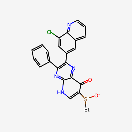 CC[S+]([O-])c1c[nH]c2nc(-c3ccccc3)c(-c3cc(Cl)c4ncccc4c3)nc2c1=O